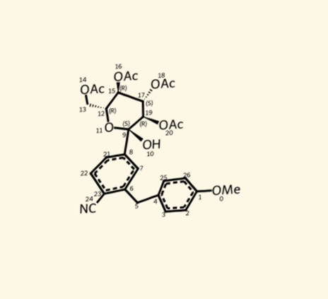 COc1ccc(Cc2cc([C@]3(O)O[C@H](COC(C)=O)[C@@H](OC(C)=O)[C@H](OC(C)=O)[C@H]3OC(C)=O)ccc2C#N)cc1